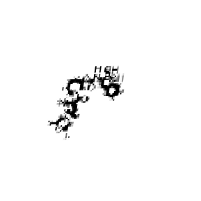 C[C@H]1CN(C(C)(C)C=C(C#N)C(=O)N2CCCCC(OC(=O)NC(Cc3ccccc3)B(O)O)C2)C[C@H](C)O1